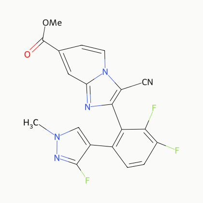 COC(=O)c1ccn2c(C#N)c(-c3c(-c4cn(C)nc4F)ccc(F)c3F)nc2c1